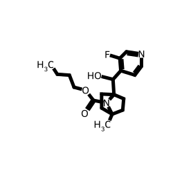 CCCCOC(=O)N1C2(C)CCC1(C(O)c1ccncc1F)CC2